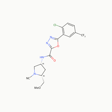 COC[C@H]1C[C@@H](NC(=O)c2nnc(-c3cc(C(F)(F)F)ccc3Cl)o2)CN1C#N